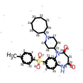 Cc1ccc(S(=O)(=O)c2ccc3c(c2)N(C2CCN(C4CCCCCCC4)CC2)C(=O)CC(=O)N3)cc1